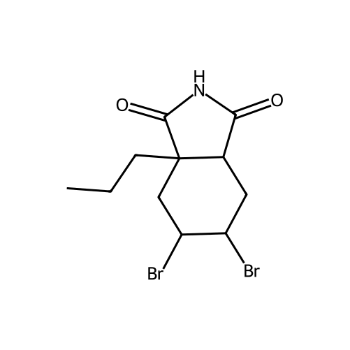 CCCC12CC(Br)C(Br)CC1C(=O)NC2=O